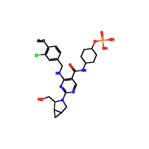 COc1ccc(CNc2nc(N3CC4CC4C3CO)ncc2C(=O)NC2CCC(OP(=O)(O)O)CC2)cc1Cl